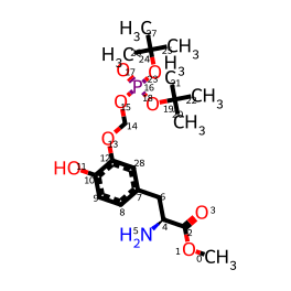 COC(=O)[C@@H](N)Cc1ccc(O)c(OCOP(=O)(OC(C)(C)C)OC(C)(C)C)c1